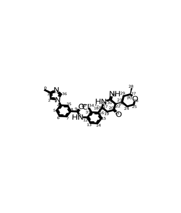 Cc1cn(-c2cccc(C(=O)Nc3cccc([C@]4(C)CC(=O)C([C@@H]5CCO[C@H](C)C5)C(=N)N4)c3Cl)c2)cn1